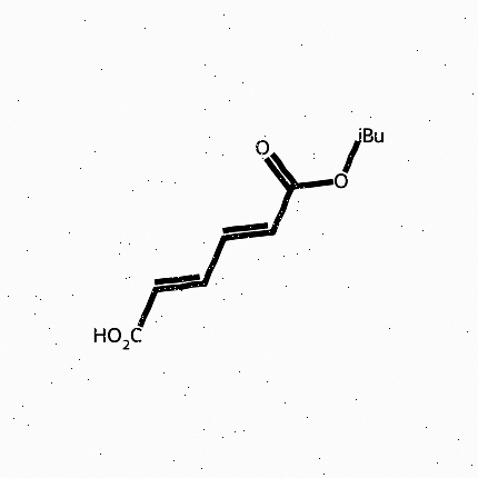 CCC(C)OC(=O)C=CC=CC(=O)O